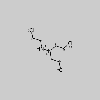 ClCCNN(CCCl)CCCl